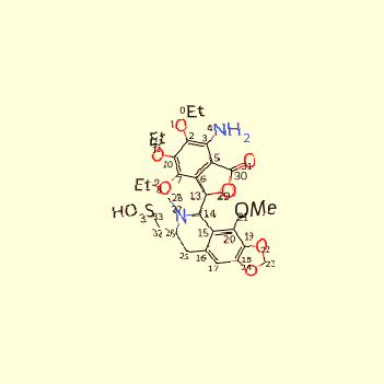 CCOc1c(N)c2c(c(OCC)c1OCC)C(C1c3c(cc4c(c3OC)OCO4)CCN1C)OC2=O.CS(=O)(=O)O